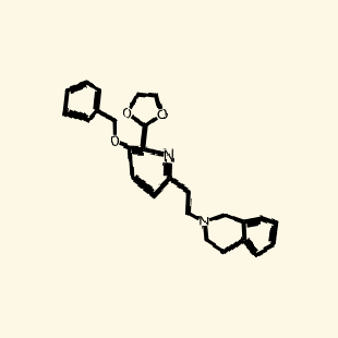 c1ccc(COc2ccc(CCN3CCc4ccccc4C3)nc2C2OCCO2)cc1